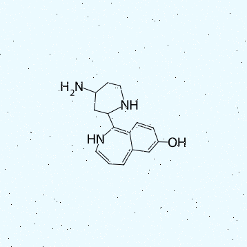 NC1CCNC(C2=c3ccc(O)cc3=CC=CN2)C1